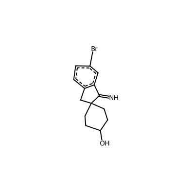 N=C1c2cc(Br)ccc2CC12CCC(O)CC2